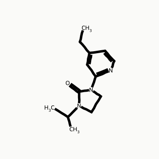 CCc1ccnc(N2CCN(C(C)C)C2=O)c1